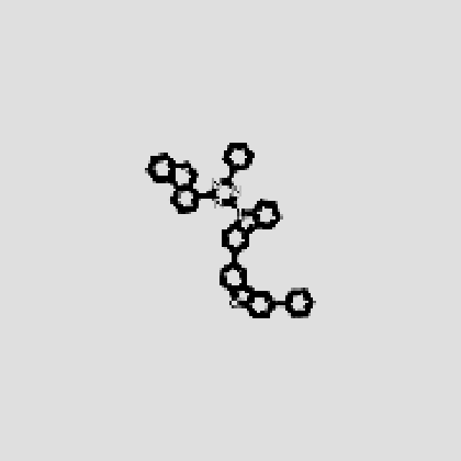 c1ccc(-c2ccc3oc4ccc(-c5ccc6c(c5)c5ccccc5n6-c5nc(-c6ccccc6)nc(-c6cccc7c6ccc6ccccc67)n5)cc4c3c2)cc1